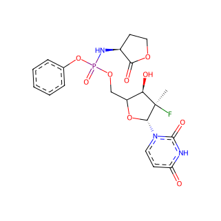 C[C@@]1(F)[C@H](O)C(COP(=O)(N[C@H]2CCOC2=O)Oc2ccccc2)O[C@H]1n1ccc(=O)[nH]c1=O